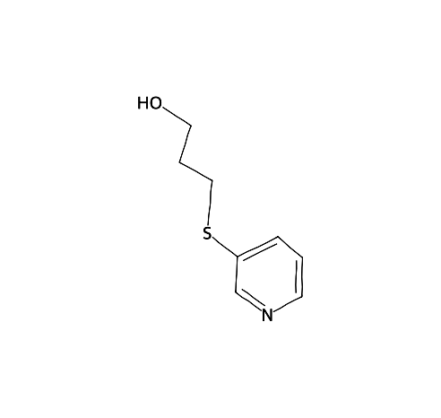 OCCCSc1cccnc1